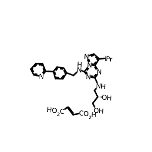 CC(C)c1cnn2c(NCc3ccc(-c4ccccn4)cc3)nc(NC[C@H](O)CO)nc12.O=C(O)/C=C/C(=O)O